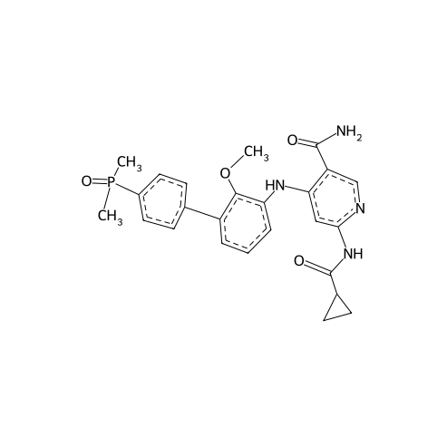 COc1c(Nc2cc(NC(=O)C3CC3)ncc2C(N)=O)cccc1-c1ccc(P(C)(C)=O)cc1